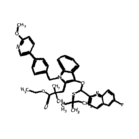 CCOC(=O)C(C)(C)Cc1c(OC(SC(C)(C)C)c2ccc3cc(F)ccc3n2)c2ccccc2n1Cc1ccc(-c2ccc(OC)nc2)cc1